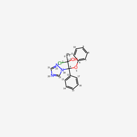 CC(C)C(O)(Cl)C(Oc1ccccc1)(c1ccccc1)n1cncn1